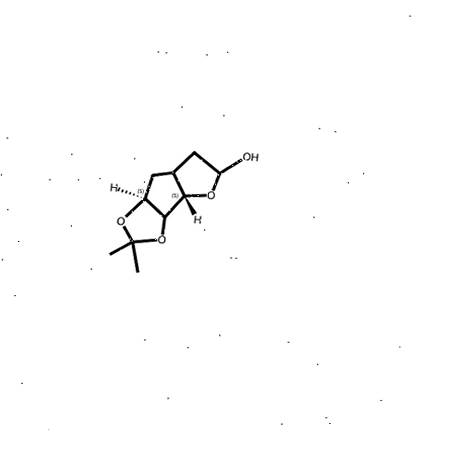 CC1(C)OC2[C@H]3OC(O)CC3C[C@@H]2O1